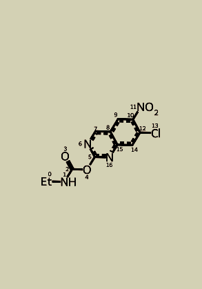 CCNC(=O)Oc1ncc2cc([N+](=O)[O-])c(Cl)cc2n1